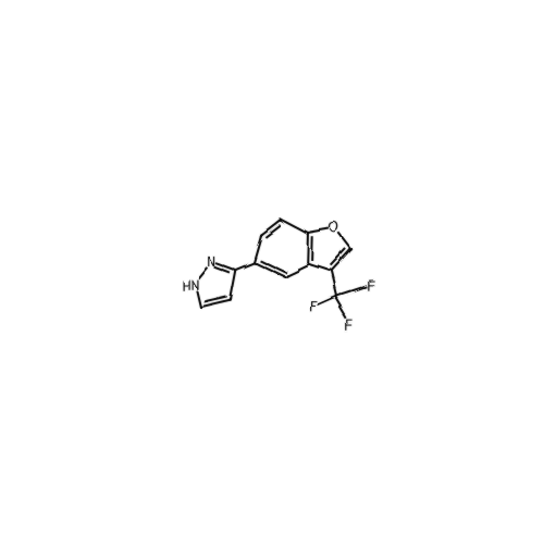 FC(F)(F)c1coc2ccc(-c3cc[nH]n3)cc12